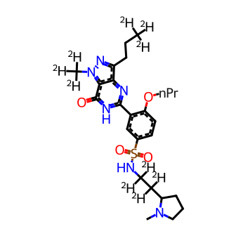 [2H]C([2H])([2H])CCc1nn(C([2H])([2H])[2H])c2c(=O)[nH]c(-c3cc(S(=O)(=O)NC([2H])([2H])C([2H])([2H])C4CCCN4C)ccc3OCCC)nc12